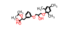 Cc1cc(C)c(OCC(O)COc2cccc(CC(OC(C)C)C(=O)O)c2)c(C)c1